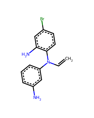 C=CN(c1cccc(N)c1)c1ccc(Br)cc1N